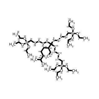 CCO[Si](CSSSSC(SSSSC[Si](OCC)(OCC)OCC)(SSSSC[Si](OCC)(OCC)OCC)C(CC)CCCC(C)C)(OCC)OCC